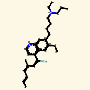 C/C=C/C=C(C)\C=C(\F)c1ccnc2cc(CCCCN(CC)CCC)c(CC)cc12